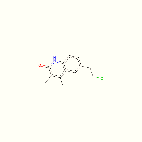 Cc1c(C)c2cc(CCCl)ccc2[nH]c1=O